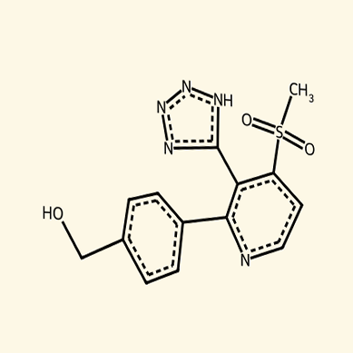 CS(=O)(=O)c1ccnc(-c2ccc(CO)cc2)c1-c1nnn[nH]1